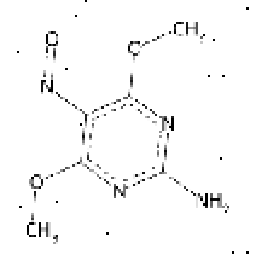 COc1nc(N)nc(OC)c1N=O